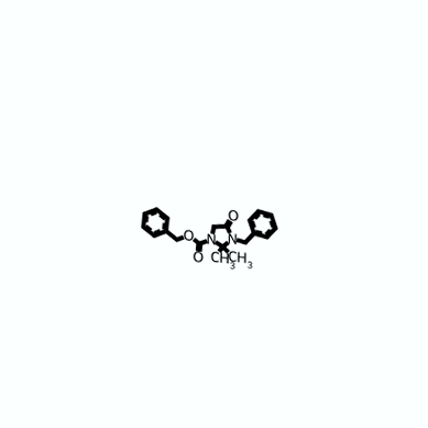 CC1(C)N(Cc2ccccc2)C(=O)CN1C(=O)OCc1ccccc1